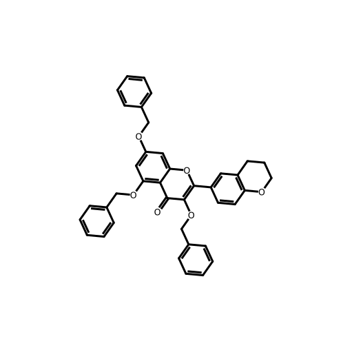 O=c1c(OCc2ccccc2)c(-c2ccc3c(c2)CCCO3)oc2cc(OCc3ccccc3)cc(OCc3ccccc3)c12